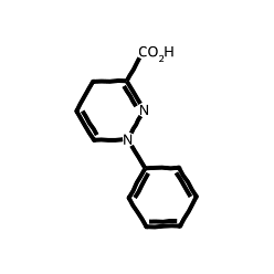 O=C(O)C1=NN(c2ccccc2)C=CC1